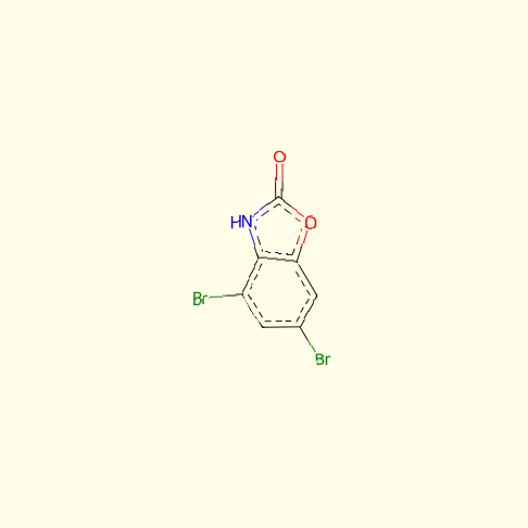 O=c1[nH]c2c(Br)cc(Br)cc2o1